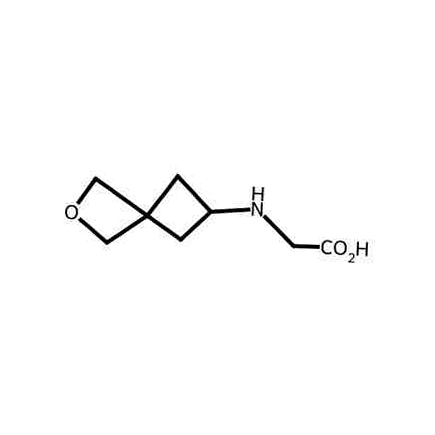 O=C(O)CNC1CC2(COC2)C1